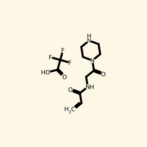 C=CC(=O)NCC(=O)N1CCNCC1.O=C(O)C(F)(F)F